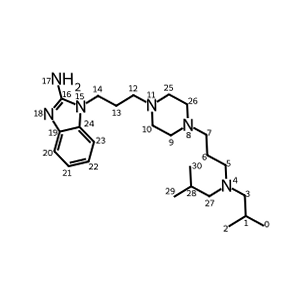 CC(C)CN(CCCN1CCN(CCCn2c(N)nc3ccccc32)CC1)CC(C)C